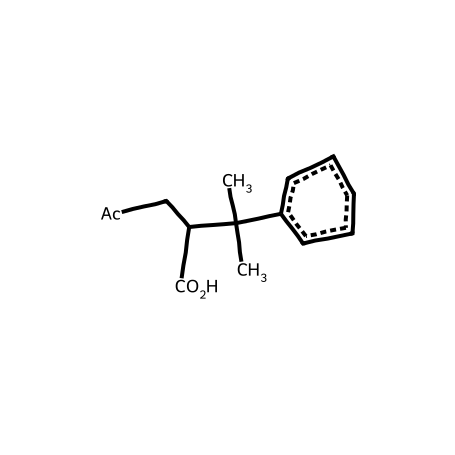 CC(=O)CC(C(=O)O)C(C)(C)c1ccccc1